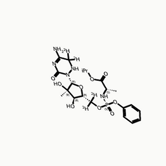 [2H]C1([2H])NN([C@@H]2O[C@H](C([2H])([2H])O[P@@](=O)(N[C@@H](C)C(=O)OC(C)C)Oc3ccccc3)[C@@H](O)[C@@]2(C)O)C(=O)N=C1N